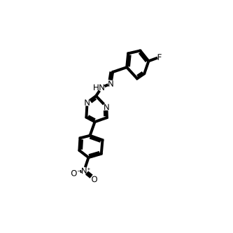 O=[N+]([O-])c1ccc(-c2cnc(N/N=C/c3ccc(F)cc3)nc2)cc1